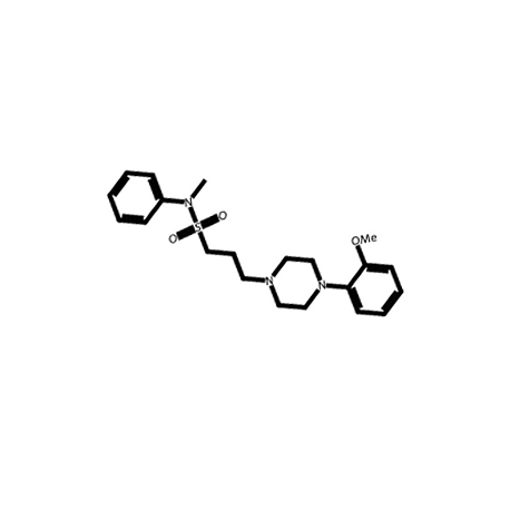 COc1ccccc1N1CCN(CCCS(=O)(=O)N(C)c2ccccc2)CC1